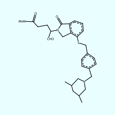 CNC(=O)CCC(C=O)N1Cc2c(SCc3ccc(CN4CC(C)CC(C)C4)cc3)cccc2C1=O